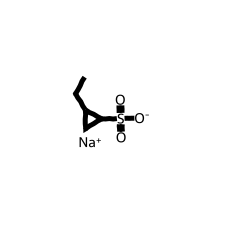 CCC1CC1S(=O)(=O)[O-].[Na+]